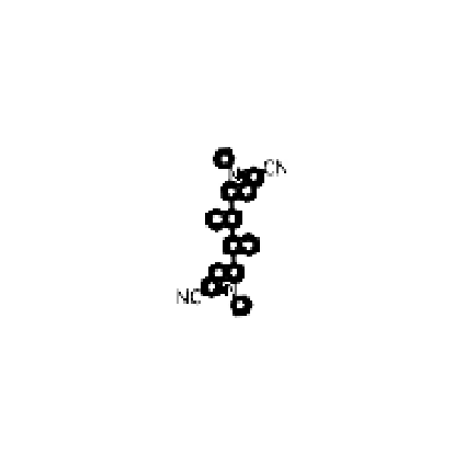 N#Cc1cc2ccc3c(-c4ccc(-c5ccc(-c6ccc7c8c6ccc6cc(C#N)cc(c68)n7-c6ccccc6)c6ccccc56)c5ccccc45)ccc4c3c2c(c1)n4-c1ccccc1